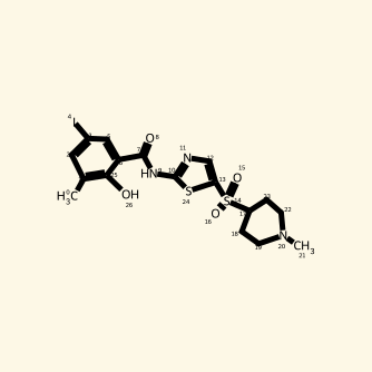 Cc1cc(I)cc(C(=O)Nc2ncc(S(=O)(=O)C3CCN(C)CC3)s2)c1O